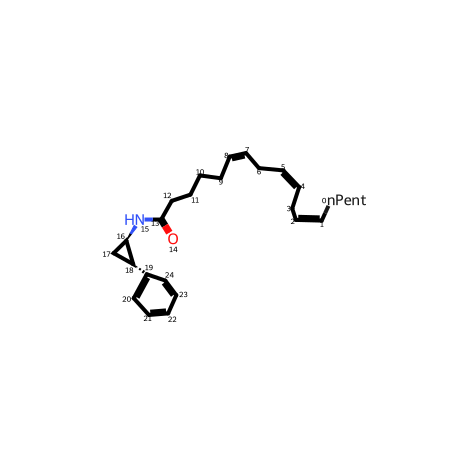 CCCCC/C=C\C/C=C\C/C=C\CCCCC(=O)N[C@@H]1C[C@H]1c1ccccc1